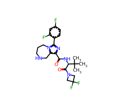 CC(C)(C)[C@H](NC(=O)c1nc(-c2ccc(F)cc2F)n2c1CNCCC2)C(=O)N1CC(F)(F)C1